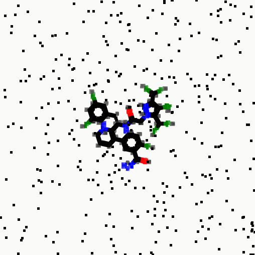 NC(=O)c1cc(C2=C([C@H](Cc3cc(F)cc(F)c3)NC(=O)Cn3nc(C(F)F)c(Br)c3C(F)F)NCC=C2)ccc1F